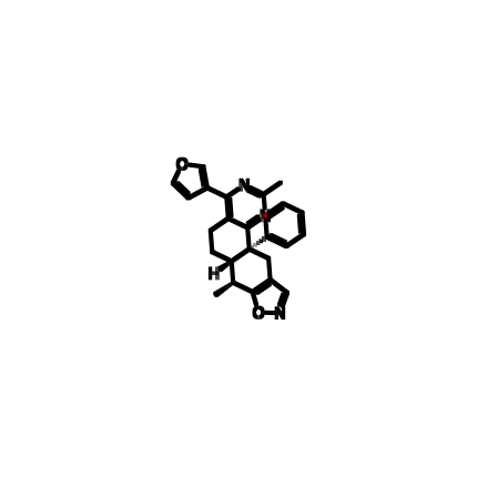 Cc1nc(-c2ccoc2)c2c(n1)[C@@]1(c3ccccc3)Cc3cnoc3[C@@H](C)[C@@H]1CC2